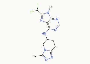 CCn1c(C(F)F)nc2c(NC3CCc4nnc(C(C)C)n4C3)ncnc21